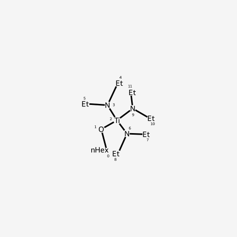 CCCCCC[O][Ti]([N](CC)CC)([N](CC)CC)[N](CC)CC